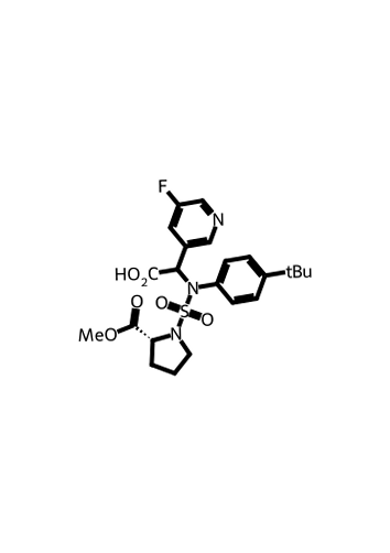 COC(=O)[C@H]1CCCN1S(=O)(=O)N(c1ccc(C(C)(C)C)cc1)C(C(=O)O)c1cncc(F)c1